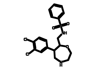 O=S(=O)(NCC1OCCNCC1c1ccc(Cl)c(Cl)c1)c1ccccc1